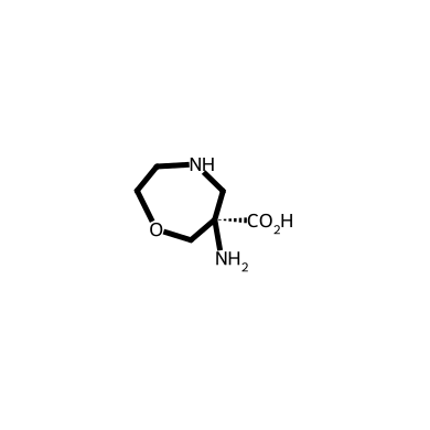 N[C@]1(C(=O)O)CNCCOC1